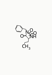 CCCC1NS(=O)(=O)N(Cc2ccccc2)C1=O